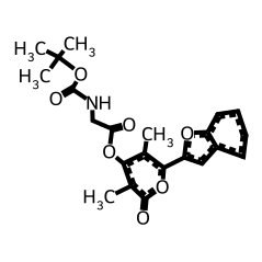 Cc1c(-c2cc3ccccc3o2)oc(=O)c(C)c1OC(=O)CNC(=O)OC(C)(C)C